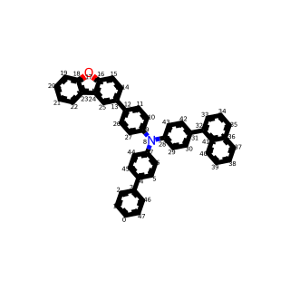 c1ccc(-c2ccc(N(c3ccc(-c4ccc5oc6ccccc6c5c4)cc3)c3ccc(-c4cccc5ccccc45)cc3)cc2)cc1